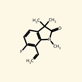 C=Cc1c(F)ccc2c1N(C)C(=O)C2(C)C